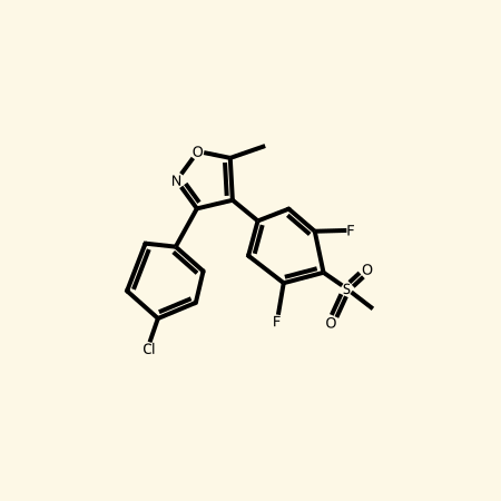 Cc1onc(-c2ccc(Cl)cc2)c1-c1cc(F)c(S(C)(=O)=O)c(F)c1